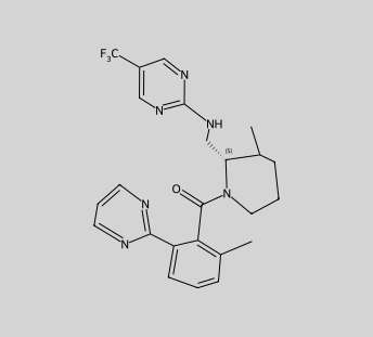 Cc1cccc(-c2ncccn2)c1C(=O)N1CCCC(C)[C@H]1CNc1ncc(C(F)(F)F)cn1